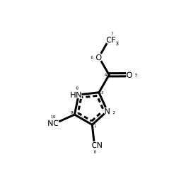 N#Cc1nc(C(=O)OC(F)(F)F)[nH]c1C#N